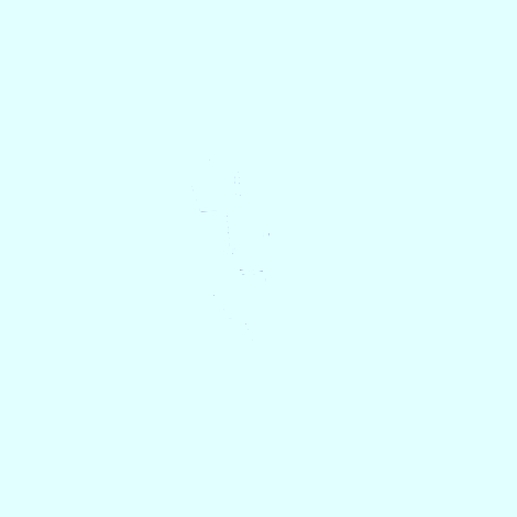 Cc1cc[c]([Ga+][c]2ccc(C)cc2)cc1.[H-]